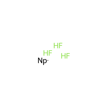 F.F.F.[Np]